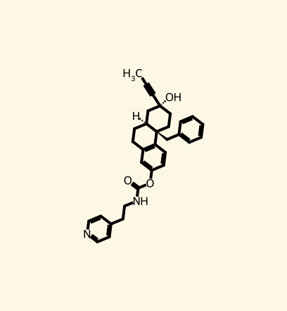 CC#C[C@@]1(O)CC[C@]2(Cc3ccccc3)c3ccc(OC(=O)NCCc4ccncc4)cc3CC[C@H]2C1